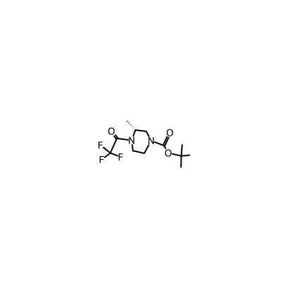 C[C@@H]1CN(C(=O)OC(C)(C)C)CCN1C(=O)C(F)(F)F